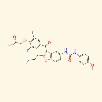 CCCCc1oc2ccc(NC(=O)Nc3ccc(OC)cc3)cc2c1C(=O)c1cc(I)c(OCC(=O)O)c(I)c1